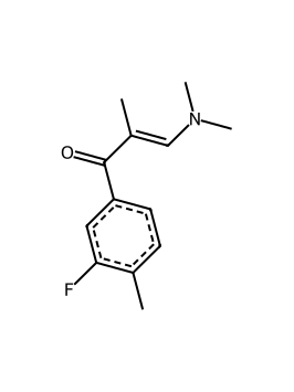 CC(=CN(C)C)C(=O)c1ccc(C)c(F)c1